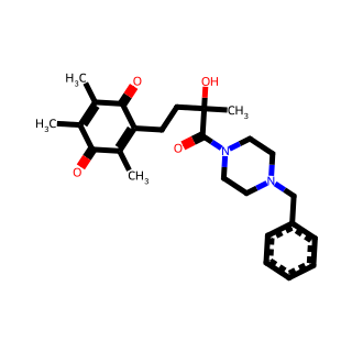 CC1=C(C)C(=O)C(CCC(C)(O)C(=O)N2CCN(Cc3ccccc3)CC2)=C(C)C1=O